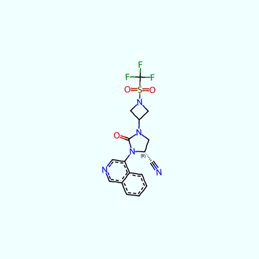 N#C[C@H]1CN(C2CN(S(=O)(=O)C(F)(F)F)C2)C(=O)N1c1cncc2ccccc12